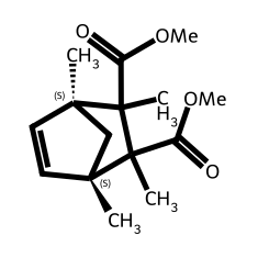 COC(=O)C1(C)C(C)(C(=O)OC)[C@]2(C)C=C[C@]1(C)C2